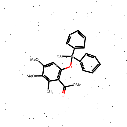 COC(=O)c1c(O[Si](c2ccccc2)(c2ccccc2)C(C)(C)C)cc(OC)c(OC)c1C